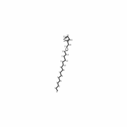 CCCCCCCCCCCCCCCCOCCc1cccs1